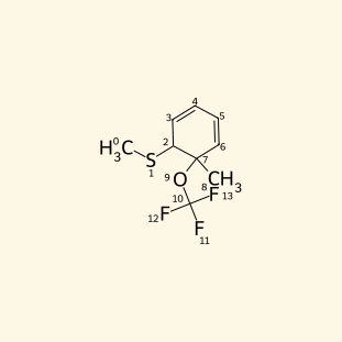 CSC1C=CC=CC1(C)OC(F)(F)F